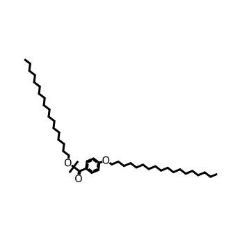 CCCCCCCCCCCCCCCCCCOc1ccc(C(=O)C(C)(C)OCCCCCCCCCCCCCCCCCC)cc1